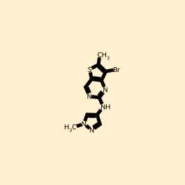 Cc1sc2cnc(Nc3cnn(C)c3)nc2c1Br